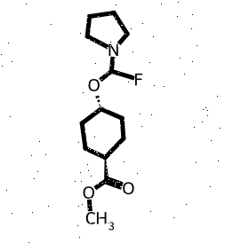 COC(=O)[C@H]1CC[C@H](OC(F)N2CCCC2)CC1